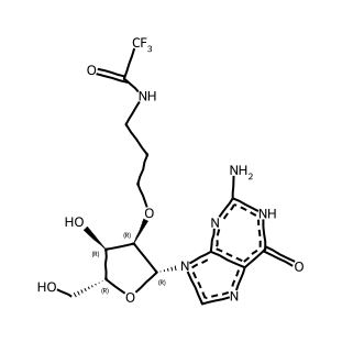 Nc1nc2c(ncn2[C@@H]2O[C@H](CO)[C@@H](O)[C@H]2OCCCNC(=O)C(F)(F)F)c(=O)[nH]1